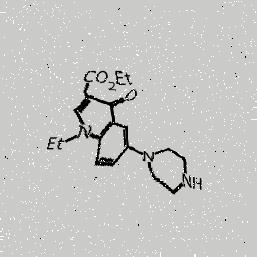 CCOC(=O)c1cn(CC)c2ccc(N3CCNCC3)cc2c1=O